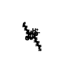 CCCCCCC1C[NH+]([O-])C(CCCCCC)C[NH+]1[O-]